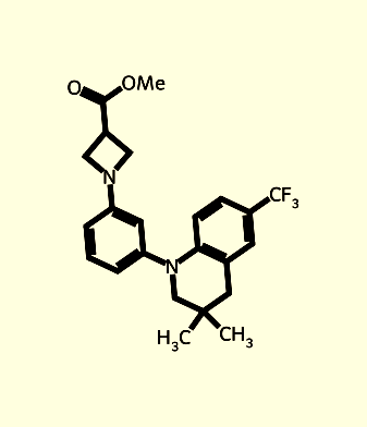 COC(=O)C1CN(c2cccc(N3CC(C)(C)Cc4cc(C(F)(F)F)ccc43)c2)C1